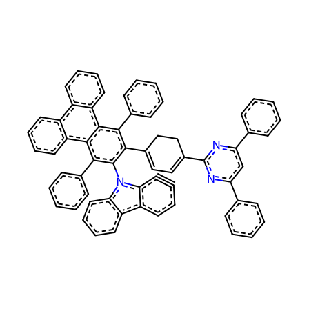 c1ccc2c3ccccc3n(-c3c(C4=CC=C(c5nc(-c6ccccc6)cc(-c6ccccc6)n5)CC4)c(-c4ccccc4)c4c5ccccc5c5ccccc5c4c3-c3ccccc3)c2c#1